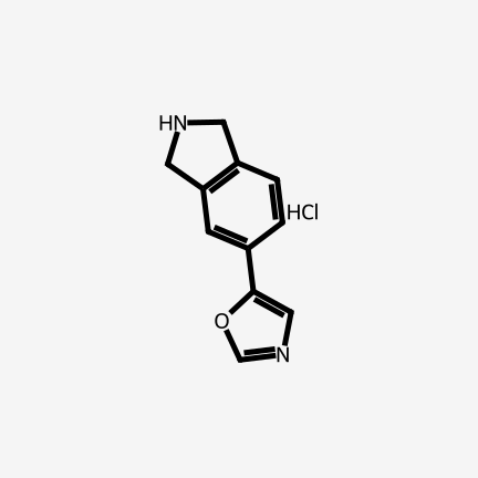 Cl.c1ncc(-c2ccc3c(c2)CNC3)o1